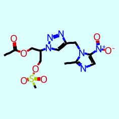 CC(=O)OCC(COS(C)(=O)=O)n1cc(Cn2c([N+](=O)[O-])cnc2C)nn1